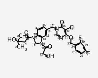 CC(C)(O)CC(=O)N1CN(C(=O)CO)c2cc(Cn3cnc(OCc4ccc(F)cc4F)c(Cl)c3=O)ccc21